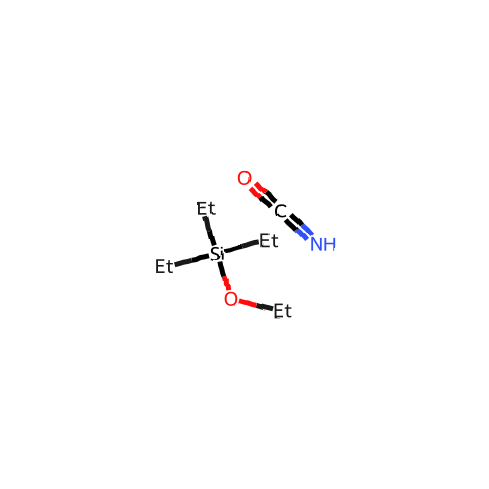 CCO[Si](CC)(CC)CC.N=C=O